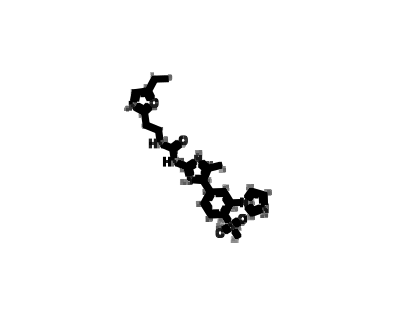 CCc1cnc(CCNC(=O)Nc2nc(C)c(-c3ccc(S(C)(=O)=O)c(-n4ccnc4)c3)s2)o1